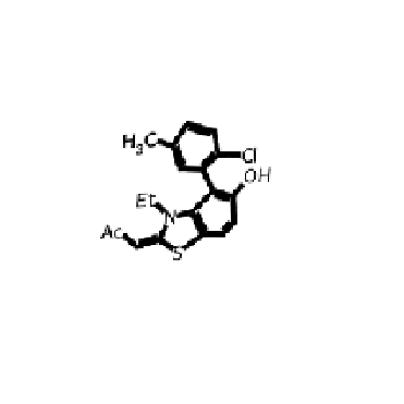 CCN1C(=CC(C)=O)Sc2ccc(O)c(-c3cc(C)ccc3Cl)c21